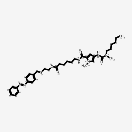 CCCCCCN(C)C(=O)Nc1cc(C(=O)NCCCCCC(=O)OCCSCc2ccc(N=Nc3ccccc3)cc2)n(C)c1